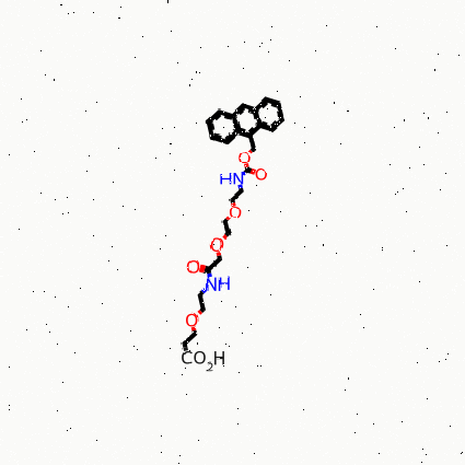 O=C(O)CCOCCNC(=O)COCCOCCNC(=O)OCc1c2ccccc2cc2ccccc12